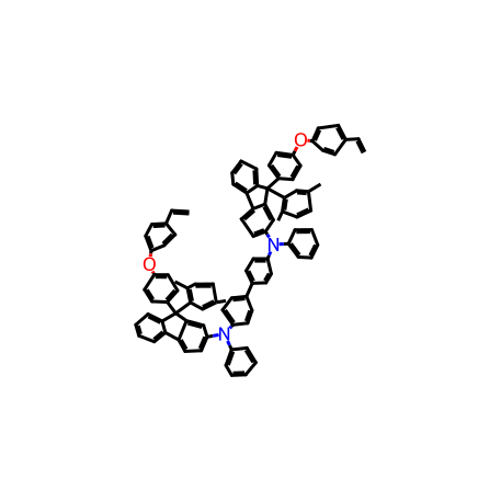 C=Cc1ccc(Oc2ccc(C3(c4cc(C)ccc4C)c4ccccc4-c4ccc(N(c5ccccc5)c5ccc(-c6ccc(N(c7ccccc7)c7ccc8c(c7)C(c7ccc(Oc9ccc(C=C)cc9)cc7)(c7cc(C)ccc7C)c7ccccc7-8)cc6)cc5)cc43)cc2)cc1